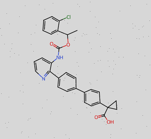 CC(OC(=O)Nc1cccnc1-c1ccc(-c2ccc(C3(C(=O)O)CC3)cc2)cc1)c1ccccc1Cl